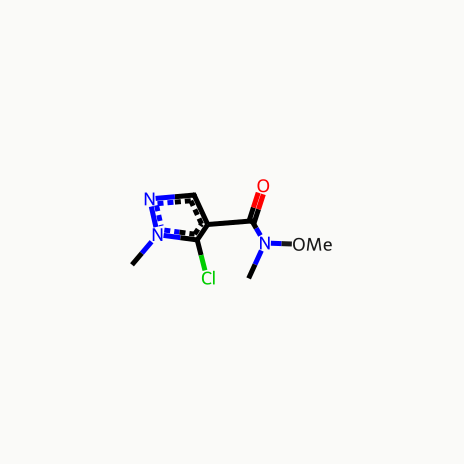 CON(C)C(=O)c1cnn(C)c1Cl